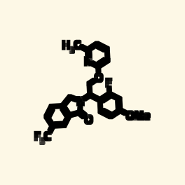 COc1ccc(C(COc2cccc(C)n2)N2Cc3ccc(C(F)(F)F)cc3C2=O)c(F)c1